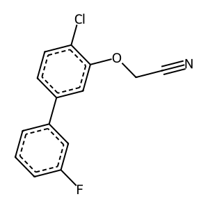 N#CCOc1cc(-c2cccc(F)c2)ccc1Cl